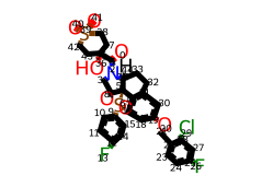 O=C(N1CC[C@@]2(S(=O)(=O)c3ccc(F)cc3)c3ccc(OCc4ccc(F)cc4Cl)cc3CC[C@@H]12)C1(O)CCS(=O)(=O)CC1